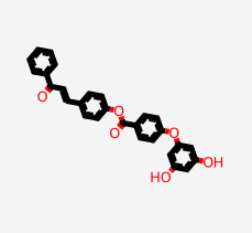 O=C(C=Cc1ccc(OC(=O)c2ccc(Oc3cc(O)cc(O)c3)cc2)cc1)c1ccccc1